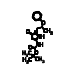 CC(Cn1[nH]c(NC(=O)OC(C)(C)C)cc1=O)Oc1ccccc1